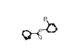 CCc1ccccc1OC(=O)c1ccccc1